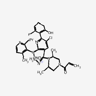 C=CC(=O)N1CC(C)N(/C(=N/C)c2cc(Cl)c(C3=C(O)CCC=C3F)nc2N(C=O)c2c(C)ccnc2C(C)C)C(C)C1